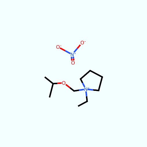 CC[N+]1(COC(C)C)CCCC1.O=[N+]([O-])[O-]